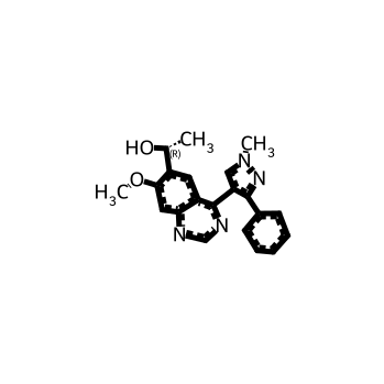 COc1cc2ncnc(-c3cn(C)nc3-c3ccccc3)c2cc1[C@@H](C)O